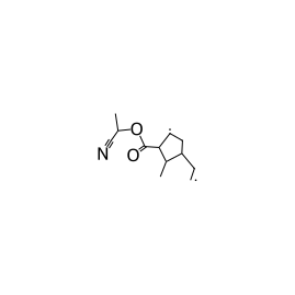 [CH2]CC1C[CH]C(C(=O)OC(C)C#N)C1C